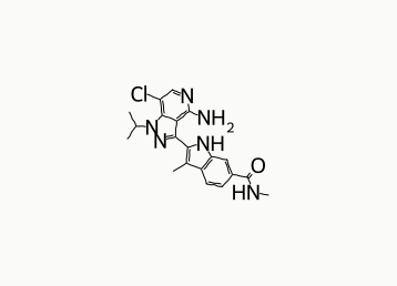 CNC(=O)c1ccc2c(C)c(-c3nn(C(C)C)c4c(Cl)cnc(N)c34)[nH]c2c1